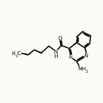 CCCCCNC(=O)c1nc(N)nc2ccccc12